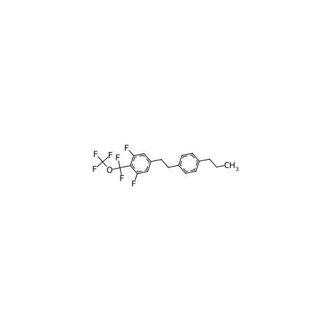 CCCc1ccc(CCc2cc(F)c(C(F)(F)OC(F)(F)F)c(F)c2)cc1